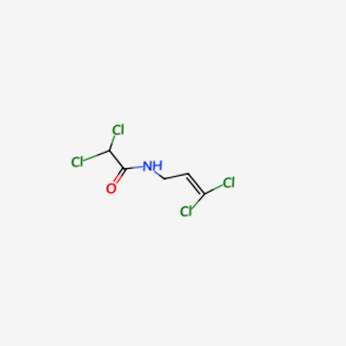 O=C(NCC=C(Cl)Cl)C(Cl)Cl